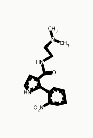 CN(C)CCNC(=O)c1cc[nH]c1-c1ccccc1[N+](=O)[O-]